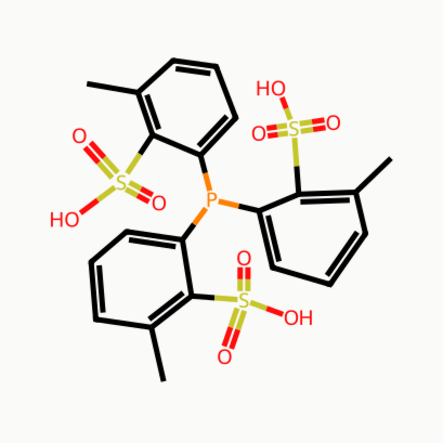 Cc1cccc(P(c2cccc(C)c2S(=O)(=O)O)c2cccc(C)c2S(=O)(=O)O)c1S(=O)(=O)O